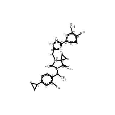 O=C1N(C(c2ccc(C3CC3)cc2F)C(F)(F)F)C(=O)C2(CC2)N1Cc1nnc(-c2ccc(F)c(O)n2)s1